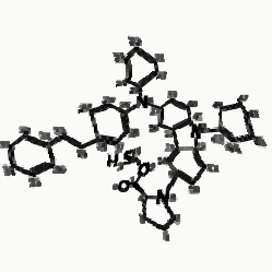 O=C(O[SiH3])[C@@H]1CCCN1c1ccc2c(c1)c1cc(N(c3ccccc3)c3ccc(/C=C/c4ccccc4)cc3)ccc1n2-c1ccccc1